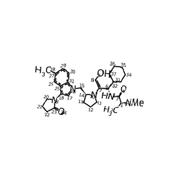 CN[C@@H](C)C(=O)N[C@H](C(=CO)N1CCC[C@H]1Cn1cc(N2CCCC2=O)c2cc(C)ccc21)C1CCCCC1